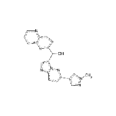 Cn1cc(-c2ccc3ncc(C(O)c4ccc5ncccc5n4)n3n2)cn1